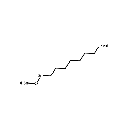 CCCCCCCCCCC[CH2][Sn][O][SnH]